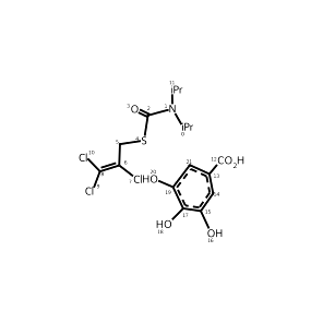 CC(C)N(C(=O)SCC(Cl)=C(Cl)Cl)C(C)C.O=C(O)c1cc(O)c(O)c(O)c1